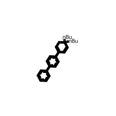 CCCCC1(CCCC)C=CC(c2ccc(-c3ccccc3)cc2)=CC1